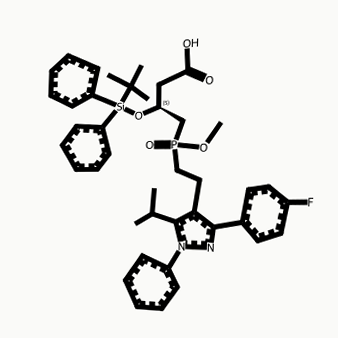 COP(=O)(CCc1c(-c2ccc(F)cc2)nn(-c2ccccc2)c1C(C)C)C[C@H](CC(=O)O)O[Si](c1ccccc1)(c1ccccc1)C(C)(C)C